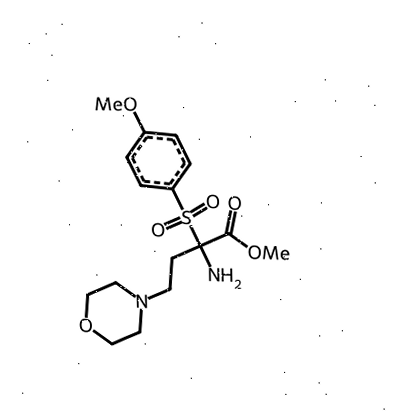 COC(=O)C(N)(CCN1CCOCC1)S(=O)(=O)c1ccc(OC)cc1